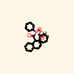 COc1ccc2ccccc2c1C(=O)P(=O)(c1ccccc1)c1ccccc1